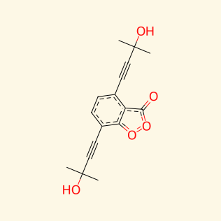 CC(C)(O)C#Cc1ccc(C#CC(C)(C)O)c2c(=O)ooc12